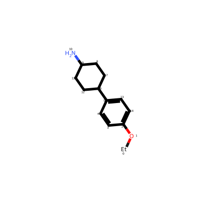 CCOc1ccc(C2CCC(N)CC2)cc1